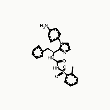 Cc1ccccc1S(=O)(=O)NC(=O)N[C@@H](Cc1ccccc1)c1nccn1-c1ccc(N)cc1